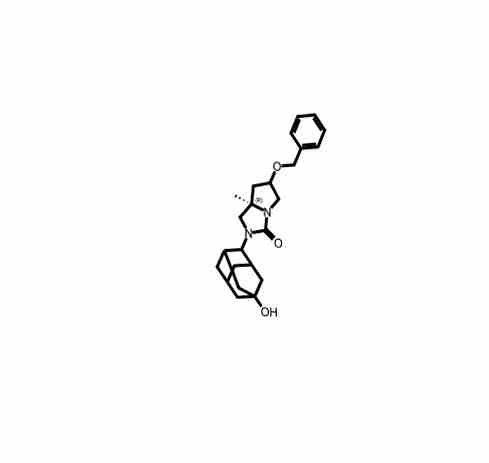 C[C@]12CC(OCc3ccccc3)CN1C(=O)N(C1C3CC4CC1CC(O)(C4)C3)C2